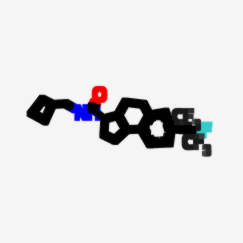 O=C(NCC1CCC1)[C@@H]1CCC2c3ccc(C(F)(C(F)(F)F)C(F)(F)F)cc3CCC21